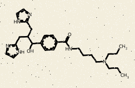 CCCN(CCC)CCCCNC(=O)c1ccc(C(O)C(Cc2ncc[nH]2)Cc2ncc[nH]2)cc1